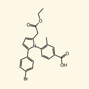 CCOC(=O)Cc1ccc(-c2ccc(Br)cc2)n1-c1ccc(C(=O)O)cc1C